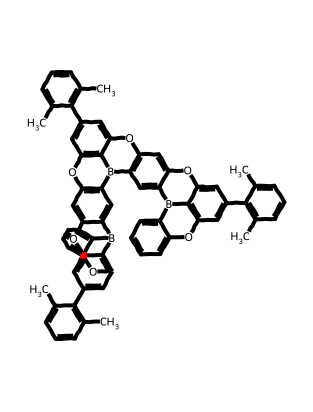 Cc1cccc(C)c1-c1cc2c3c(c1)Oc1cc4c(cc1B3c1ccccc1O2)B1c2cc3c(cc2Oc2cc(-c5c(C)cccc5C)cc(c21)O4)Oc1cc(-c2c(C)cccc2C)cc2c1B3c1ccccc1O2